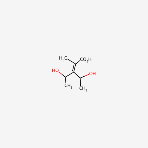 CC(C(=O)O)=C(C(C)O)C(C)O